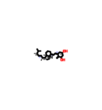 C=C1/C(=C\C=C2/CCC[C@]3(C)[C@@H]([C@H](C)/C=C/[C@H](C)C(C)C)CC[C@@H]23)C[C@H](O)C[C@H]1O